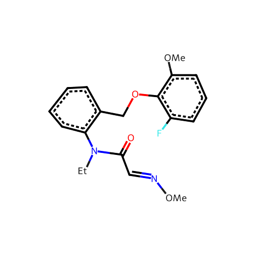 CCN(C(=O)C=NOC)c1ccccc1COc1c(F)cccc1OC